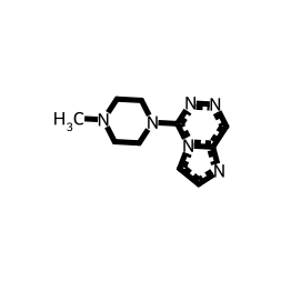 CN1CCN(c2nncc3nccn23)CC1